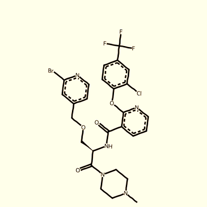 CN1CCN(C(=O)[C@@H](COCc2ccnc(Br)c2)NC(=O)c2cccnc2Oc2ccc(C(F)(F)F)cc2Cl)CC1